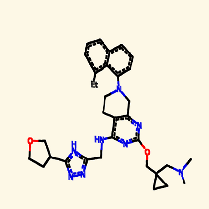 CCc1cccc2cccc(N3CCc4c(nc(OCC5(CN(C)C)CC5)nc4NCc4nnc(C5CCOC5)[nH]4)C3)c12